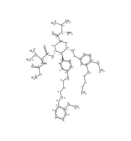 CCCCOc1cc(CO[C@H]2CN(C(=O)[C@@H](N)C(C)C)C[C@@H](OC(=O)[C@@H](NC(=O)CN)C(C)C)[C@@H]2c2ccc(OCCCOCc3ccccc3OC)cc2)ccc1OC